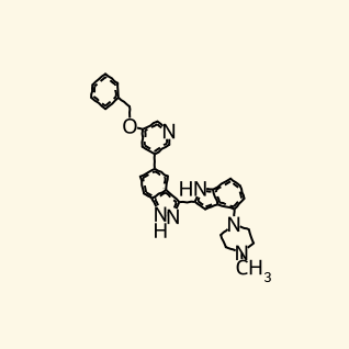 CN1CCN(c2cccc3[nH]c(-c4n[nH]c5ccc(-c6cncc(OCc7ccccc7)c6)cc45)cc23)CC1